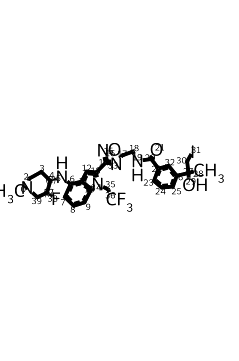 CN1CC[C@@H](Nc2cccc3c2cc(-c2noc(CNC(=O)c4cccc(C(C)(O)CI)c4)n2)n3CC(F)(F)F)[C@@H](F)C1